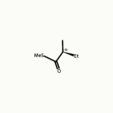 CC[C@H](C)C(=O)SC